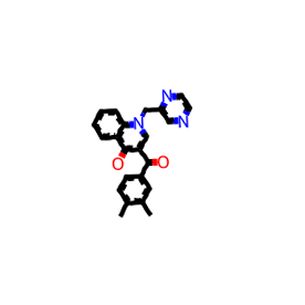 Cc1ccc(C(=O)c2cn(Cc3cnccn3)c3ccccc3c2=O)cc1C